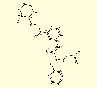 CC(=O)SCC(Cc1ccccc1)C(=O)Nc1cccc(C(=O)OCC2CCCCN2C)c1